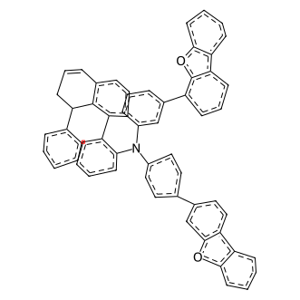 C1=Cc2cccc(-c3ccccc3N(c3ccc(-c4ccc5c(c4)oc4ccccc45)cc3)c3cccc(-c4cccc5c4oc4ccccc45)c3)c2C(c2ccccc2)C1